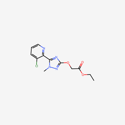 CCOC(=O)COc1nc(-c2ncccc2Cl)n(C)n1